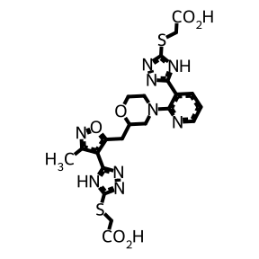 Cc1noc(CC2CN(c3ncccc3-c3nnc(SCC(=O)O)[nH]3)CCO2)c1-c1nnc(SCC(=O)O)[nH]1